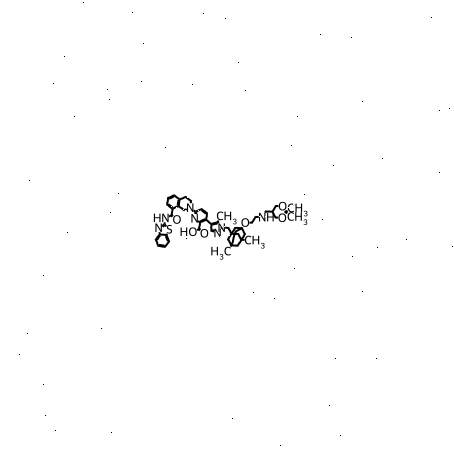 Cc1c(-c2ccc(N3CCc4cccc(C(=O)Nc5nc6ccccc6s5)c4C3)nc2C(=O)O)cnn1CC12CC3(C)CC(C)(C1)CC(OCCNCC1COC(C)(C)OC1)(C3)C2